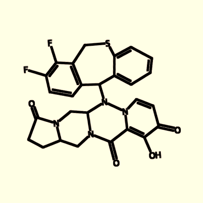 O=C1CCC2CN3C(=O)c4c(O)c(=O)ccn4N(C4c5ccccc5SCc5c4ccc(F)c5F)C3CN12